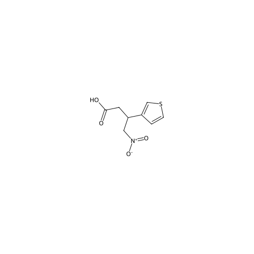 O=C(O)CC(C[N+](=O)[O-])c1ccsc1